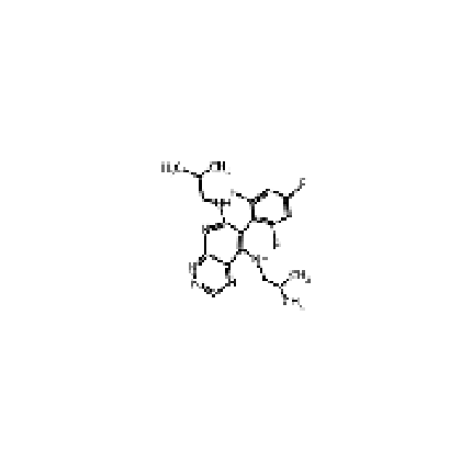 CC(C)CNc1nc2nncnc2c(NCC(C)C)c1-c1c(F)cc(F)cc1F